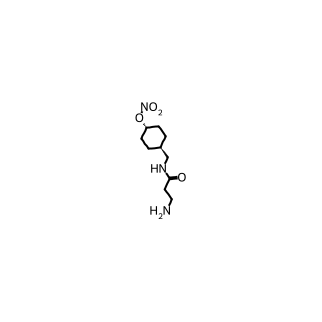 NCCC(=O)NC[C@H]1CC[C@H](O[N+](=O)[O-])CC1